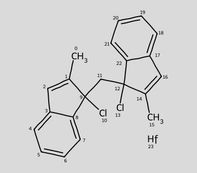 CC1=Cc2ccccc2C1(Cl)CC1(Cl)C(C)=Cc2ccccc21.[Hf]